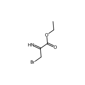 CCOC(=O)C(=N)CBr